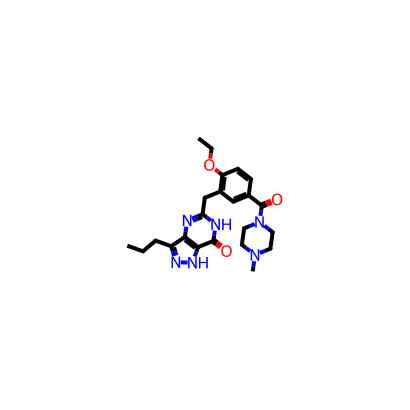 CCCc1n[nH]c2c(=O)[nH]c(Cc3cc(C(=O)N4CCN(C)CC4)ccc3OCC)nc12